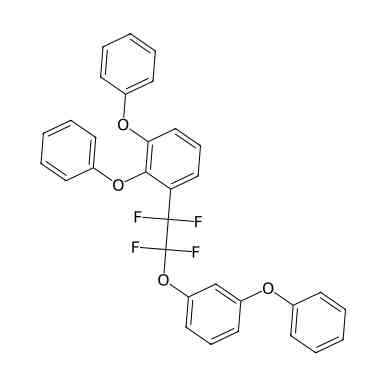 FC(F)(Oc1cccc(Oc2ccccc2)c1)C(F)(F)c1cccc(Oc2ccccc2)c1Oc1ccccc1